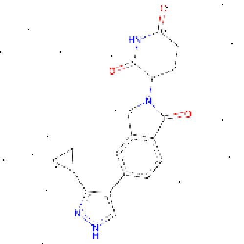 O=C1CCC(N2Cc3cc(-c4c[nH]nc4C4CC4)ccc3C2=O)C(=O)N1